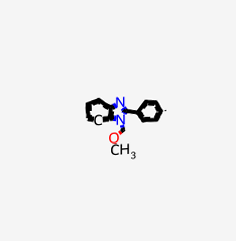 COCn1c(-c2cc[c]cc2)nc2ccccc21